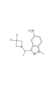 CC(c1nn(C)c2ccc(N)cc12)N1CC(F)(F)C1